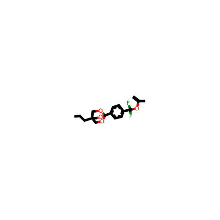 C=C(C)OC(F)(F)c1ccc(C23OCC(CCC)(CO2)CO3)cc1